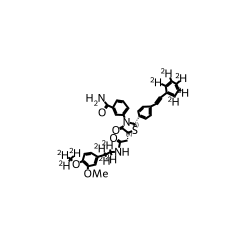 [2H]c1c([2H])c([2H])c(C#Cc2ccc([C@@H]3S[C@H](CC(=O)NC([2H])([2H])C([2H])([2H])c4ccc(OC([2H])([2H])[2H])c(OC)c4)C(=O)N3c3cccc(C(N)=O)c3)cc2)c([2H])c1[2H]